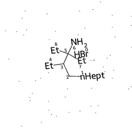 Br.CCCCCCCCC(CC)C(N)(CC)CC